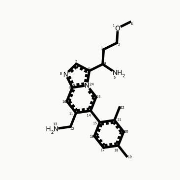 COCCC(N)c1cnc2cc(CN)c(-c3ccc(C)cc3C)cn12